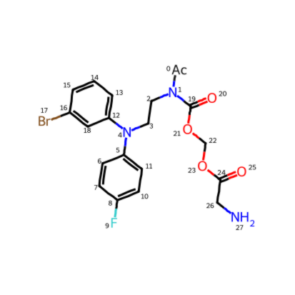 CC(=O)N(CCN(c1ccc(F)cc1)c1cccc(Br)c1)C(=O)OCOC(=O)CN